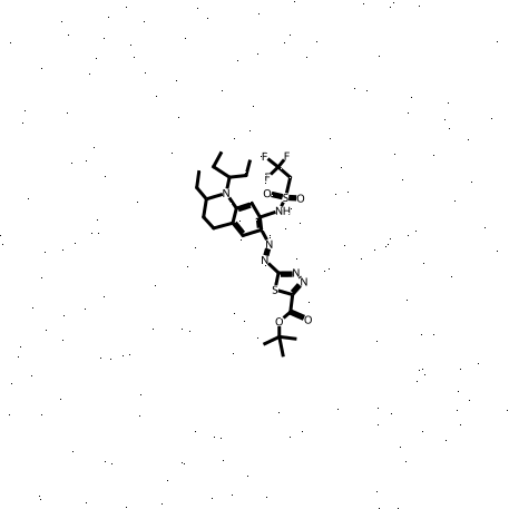 CCC(CC)N1c2cc(NS(=O)(=O)CC(F)(F)F)c(N=Nc3nnc(C(=O)OC(C)(C)C)s3)cc2CCC1CC